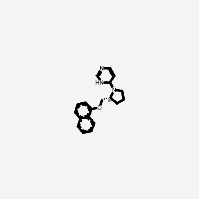 [C]1=NC=CC(N2CCC[C@@H]2COc2cccc3ccccc23)N1